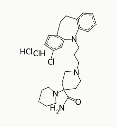 Cl.Cl.NC(=O)C1(N2CCCCC2)CCN(CCCN2c3ccccc3CCc3ccc(Cl)cc32)CC1